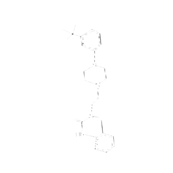 O=C1Nc2ccccc2ON1CCN1CCN(c2cccc(C(F)(F)F)c2)CC1